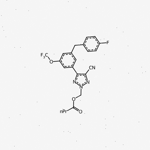 CCCC(=O)OCn1nc(C#N)c(-c2cc(Cc3ccc(F)cc3)cc(OC(F)(F)F)c2)n1